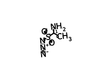 CC(N)S(=O)(=O)N=[N+]=[N-]